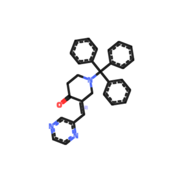 O=C1CCN(C(c2ccccc2)(c2ccccc2)c2ccccc2)C/C1=C/c1cnccn1